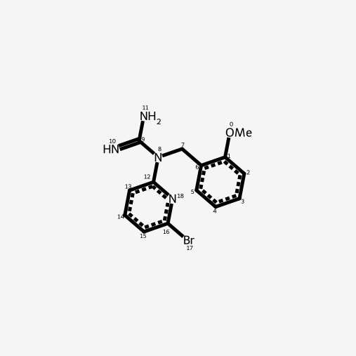 COc1ccccc1CN(C(=N)N)c1cccc(Br)n1